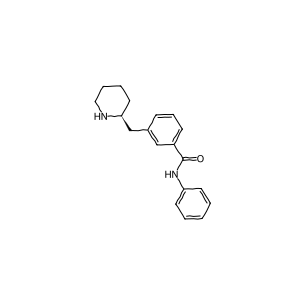 O=C(Nc1ccccc1)c1cccc(C[C@@H]2CCCCN2)c1